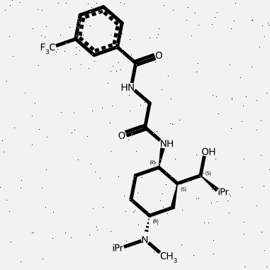 CC(C)[C@H](O)[C@H]1C[C@H](N(C)C(C)C)CC[C@H]1NC(=O)CNC(=O)c1cccc(C(F)(F)F)c1